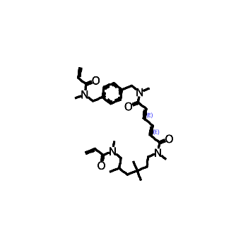 C=CC(=O)N(C)Cc1ccc(CN(C)C(=O)/C=C/C=C/C(=O)N(C)CCC(C)(C)CC(C)CN(C)C(=O)C=C)cc1